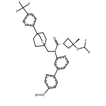 CC(C)Oc1ccc(-c2ccnc(N(CC34CCC(c5ccc(C(C)(F)F)cn5)(CC3)CC4)C(=O)[C@H]3C[C@@](C)(OC(F)F)C3)c2)cc1